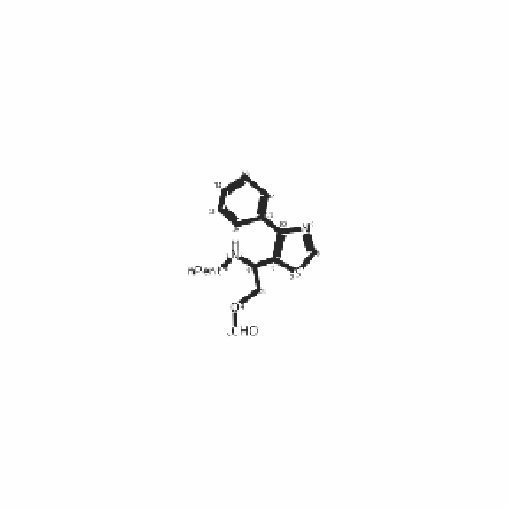 CCCCCNC(COC=O)c1scnc1-c1ccccc1